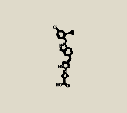 O=C(O)C1CN(C2NCC(=Cc3ccc4c(cnn4Cc4ccc(Cl)cc4C4CC4)c3)S2)C1